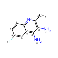 Cc1nc2ccc(F)cc2c(N)c1N